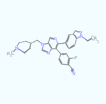 CCn1ncc2cc(-c3ncc4c(ncn4CC4CCN(C)CC4)c3-c3ccc(C#N)c(F)c3)ccc21